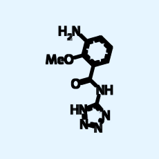 COc1c(N)cccc1C(=O)Nc1nnn[nH]1